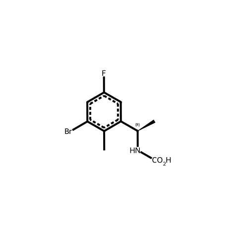 Cc1c(Br)cc(F)cc1[C@@H](C)NC(=O)O